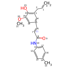 C=CCc1cc(/C=C/C(=O)Nc2ccc(C)cc2)cc(OC)c1O